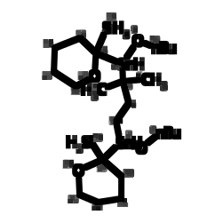 CCCC[O][SnH]([CH]C[C](C)(C)[SnH]([O]CCCC)[C]1([SiH3])CCCCO1)[C]1([SiH3])CCCCO1